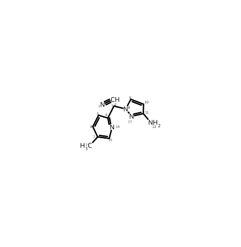 C#N.Cc1ccc(Cn2ccc(N)n2)nc1